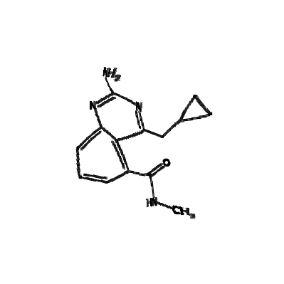 CNC(=O)c1cccc2nc(N)nc(CC3CC3)c12